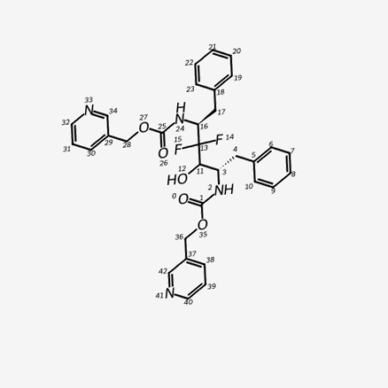 O=C(N[C@@H](Cc1ccccc1)C(O)C(F)(F)[C@H](Cc1ccccc1)NC(=O)OCc1cccnc1)OCc1cccnc1